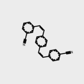 N#Cc1ccc(/C=C\c2ccc(/C=C\c3cccc(C#N)c3)cc2)cc1